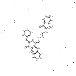 Cn1c(=O)/c(=C/c2ccccc2)nc(OCCCCN2C(=O)c3ccccc3C2=O)/c1=C/c1ccccc1